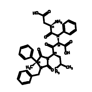 CC(C)C[C@H](C(=O)[C@@H](C(=O)O)N(C(=O)[C@@H](N)CC(=O)O)c1ccccc1)N1C(=O)N(Cc2ccccc2)[C@@](C)(c2ccccc2)C1=O